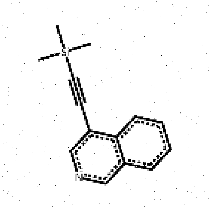 C[Si](C)(C)C#Cc1cncc2ccccc12